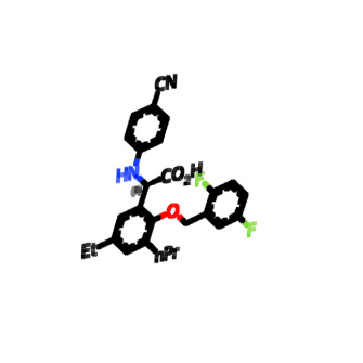 CCCc1cc(CC)cc([C@@H](Nc2ccc(C#N)cc2)C(=O)O)c1OCc1cc(F)ccc1F